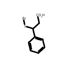 CC(=O)SC(CC(=O)O)c1ccccc1